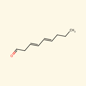 CCCC=CC=CC[C]=O